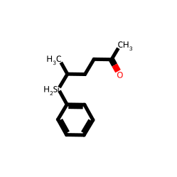 CC(=O)CCC(C)[SiH2]c1ccccc1